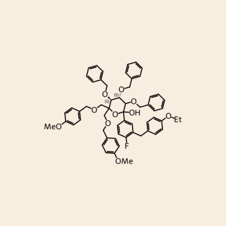 CCOc1ccc(Cc2cc(C3(O)OC(COCc4ccc(OC)cc4)(COCc4ccc(OC)cc4)[C@@H](OCc4ccccc4)[C@H](OCc4ccccc4)C3OCc3ccccc3)ccc2F)cc1